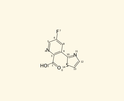 O=C(O)c1ncc(F)cc1-c1nccs1